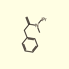 C=C(Cc1ccccc1)N(C)C(C)C